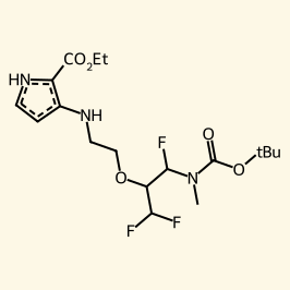 CCOC(=O)c1[nH]ccc1NCCOC(C(F)F)C(F)N(C)C(=O)OC(C)(C)C